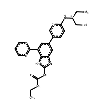 CCNC(=O)Nc1nc2cc(-c3ccc(N[C@@H](CC)CO)nc3)cc(-c3ncccn3)c2[nH]1